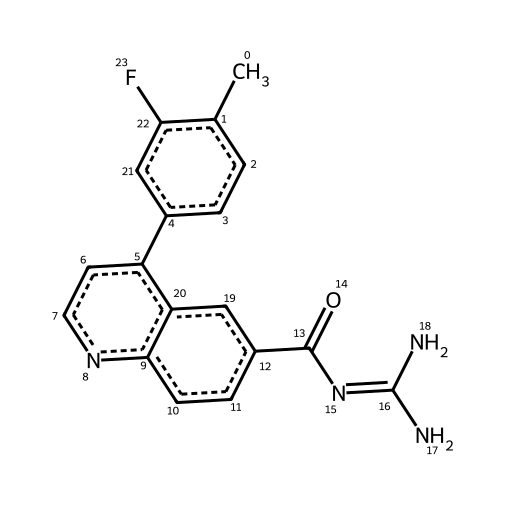 Cc1ccc(-c2ccnc3ccc(C(=O)N=C(N)N)cc23)cc1F